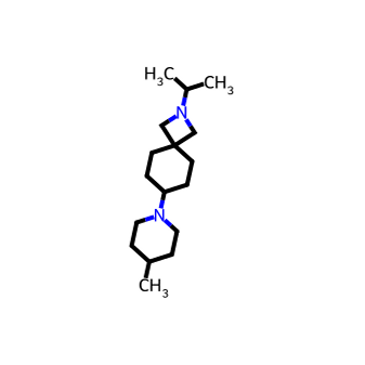 CC1CCN(C2CCC3(CC2)CN(C(C)C)C3)CC1